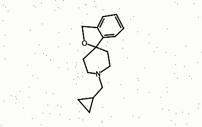 c1ccc2c(c1)COC21CCN(CC2CC2)CC1